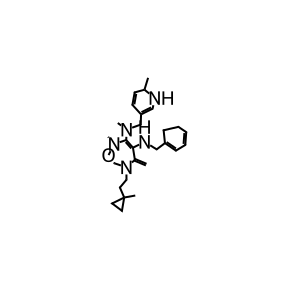 C=C1C(NCC2=CC=CCC2)=C(N(C)CC2=CNC(C)C=C2)N(C)OCN1CCC1(C)CC1